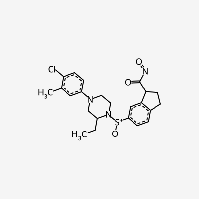 CCC1CN(c2ccc(Cl)c(C)c2)CCN1[S+]([O-])c1ccc2c(c1)C(C(=O)N=O)CC2